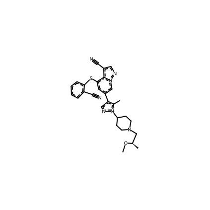 CO[C@H](C)CN1CCC(n2ncc(-c3cc(Sc4ccccc4C#N)c4c(C#N)cnn4c3)c2C)CC1